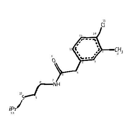 Cc1cc(CC(=O)NCCSC(C)C)ccc1Cl